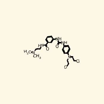 CN(C)CCNC(=O)c1cccc(NC(=O)Nc2ccc(N(CCCl)CCCl)cc2)c1